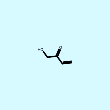 C=CC(=O)[CH]O